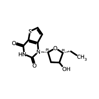 CC[C@H]1O[C@@H](n2c(=O)[nH]c(=O)c3sccc32)CC1O